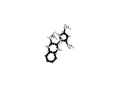 COc1nc2ccccc2nc1-n1nc(C)cc1C